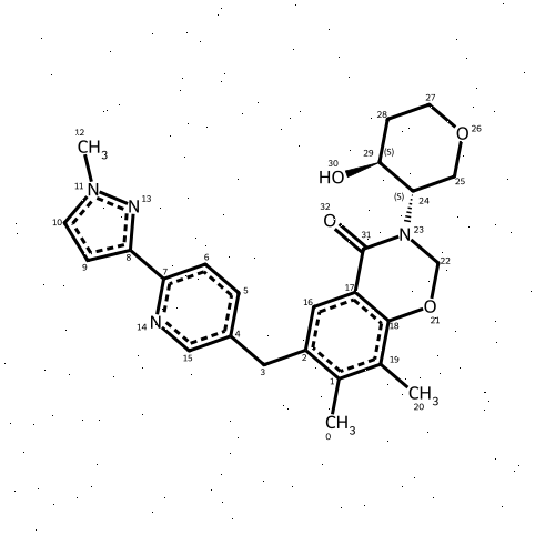 Cc1c(Cc2ccc(-c3ccn(C)n3)nc2)cc2c(c1C)OCN([C@H]1COCC[C@@H]1O)C2=O